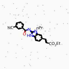 CCCn1/c(=N/C(=O)c2cccc(C#N)c2)[nH]c2ccc(/C=C/C(=O)OCC)cc21